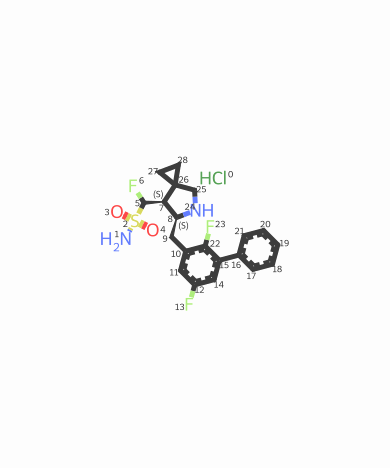 Cl.NS(=O)(=O)C(F)[C@@H]1[C@H](Cc2cc(F)cc(-c3ccccc3)c2F)NCC12CC2